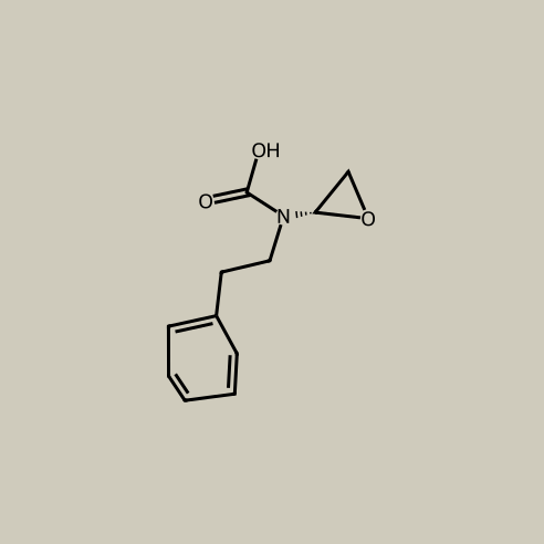 O=C(O)N(CCc1ccccc1)[C@@H]1CO1